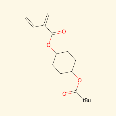 C=CC(=C)C(=O)OC1CCC(OC(=O)C(C)(C)C)CC1